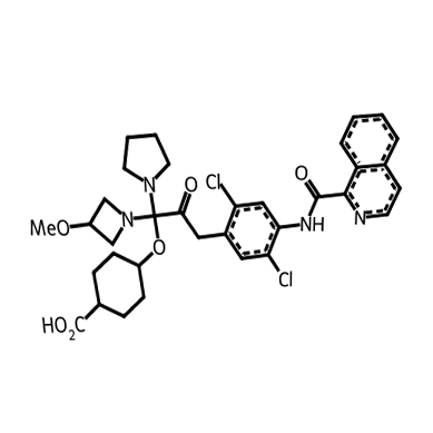 COC1CN(C(OC2CCC(C(=O)O)CC2)(C(=O)Cc2cc(Cl)c(NC(=O)c3nccc4ccccc34)cc2Cl)N2CCCC2)C1